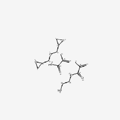 C(OCC1CO1)C1CO1.C=C(C)C(=O)O.C=C(C)C(=O)OCCO